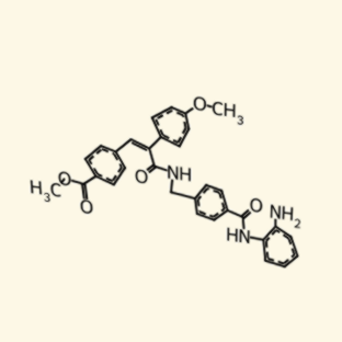 COC(=O)c1ccc(C=C(C(=O)NCc2ccc(C(=O)Nc3ccccc3N)cc2)c2ccc(OC)cc2)cc1